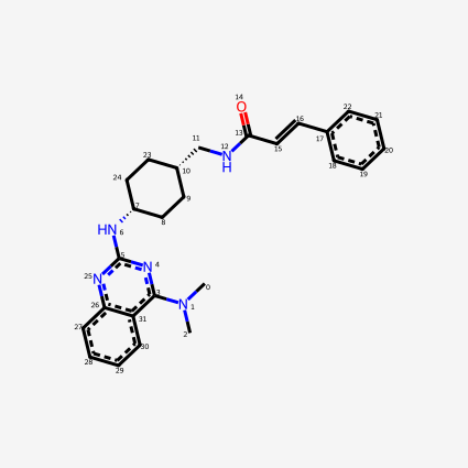 CN(C)c1nc(N[C@H]2CC[C@@H](CNC(=O)/C=C/c3ccccc3)CC2)nc2ccccc12